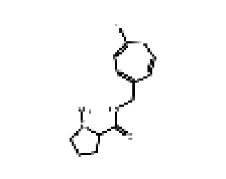 CN1CCCC1C(=O)NCC1=CC=C(Cl)CC=C1